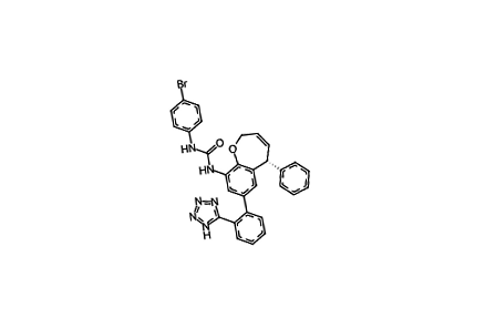 O=C(Nc1ccc(Br)cc1)Nc1cc(-c2ccccc2-c2nnn[nH]2)cc2c1OCC=C[C@@H]2c1ccccc1